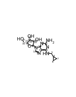 Nc1nc(NCC2CC2)c2ncn([C@@H]3O[C@H](CO)[C@H](O)[C@@H]3O)c2n1